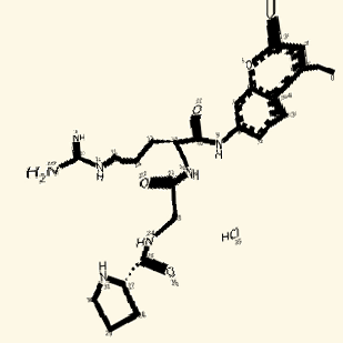 Cc1cc(=O)oc2cc(NC(=O)[C@H](CCCNC(=N)N)NC(=O)CNC(=O)[C@@H]3CCCN3)ccc12.Cl